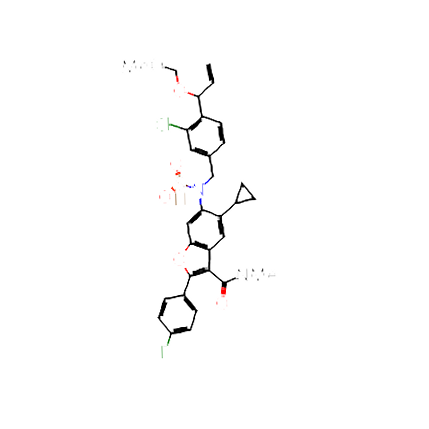 C=CC(OCOC)c1ccc(CN(c2cc3oc(-c4ccc(F)cc4)c(C(=O)NC)c3cc2C2CC2)[SH](=O)=O)cc1Cl